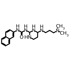 CN(C)CCCNC1CCNC(NC(=O)Nc2ccc3ccccc3c2)N1